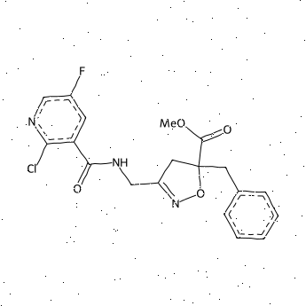 COC(=O)C1(Cc2ccccc2)CC(CNC(=O)c2cc(F)cnc2Cl)=NO1